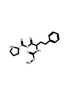 CC(C)(C)OC(=O)NC(CCc1ccccc1)C(=O)OC(=O)[C@@H]1CCCN1